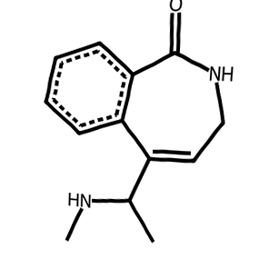 CNC(C)C1=CCNC(=O)c2ccccc21